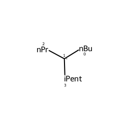 CCCC[C](CCC)C(C)CCC